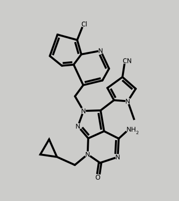 Cn1cc(C#N)cc1-c1c2c(N)nc(=O)n(CC3CC3)c2nn1Cc1ccnc2c(Cl)cccc12